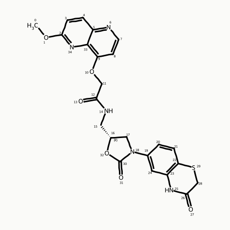 COc1ccc2nccc(OCC(=O)NC[C@@H]3CN(c4ccc5c(c4)NC(=O)CS5)C(=O)O3)c2n1